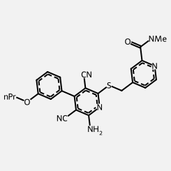 CCCOc1cccc(-c2c(C#N)c(N)nc(SCc3ccnc(C(=O)NC)c3)c2C#N)c1